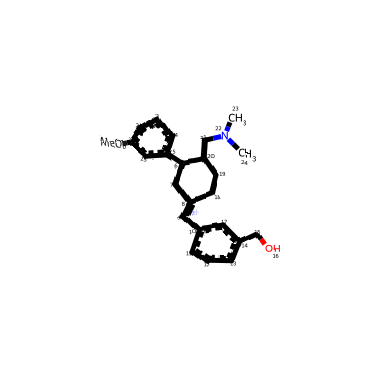 COc1cccc(C2C/C(=C/c3cccc(CO)c3)CCC2CN(C)C)c1